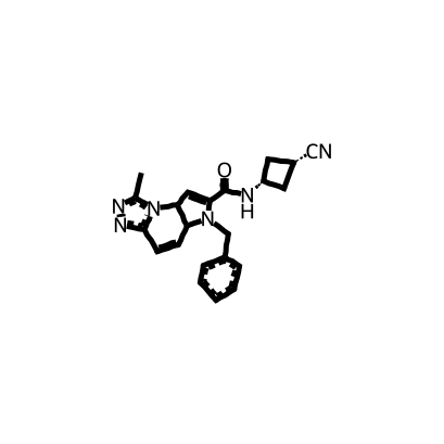 Cc1nnc2n1C1C=C(C(=O)N[C@H]3C[C@@H](C#N)C3)N(Cc3ccccc3)C1C=C2